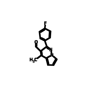 Cc1c(C=O)c(-c2ccc(F)cc2)nn2cccc12